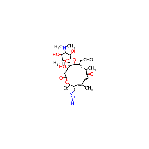 CC[C@H]1OC(=O)C[C@@H](O)[C@H](C)[C@@H](O[C@@H]2O[C@H](C)[C@@H](O)C(N(C)C)C2O)[C@@H](CC=O)C[C@@H](C)C(=O)/C=C/C(C)=C/[C@@H]1CN=[N+]=[N-]